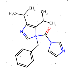 CC(C)C1=C(C(C)C)[N+](Cc2ccccc2)(C(=O)n2ccnc2)C=N1